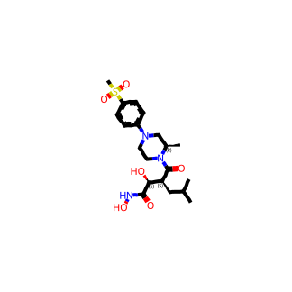 CC(C)C[C@H](C(=O)N1CCN(c2ccc(S(C)(=O)=O)cc2)C[C@H]1C)[C@H](O)C(=O)NO